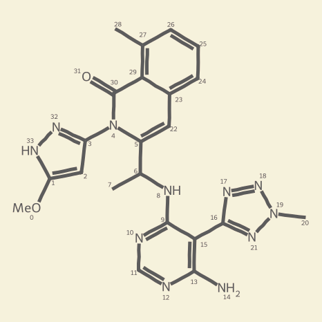 COc1cc(-n2c(C(C)Nc3ncnc(N)c3-c3nnn(C)n3)cc3cccc(C)c3c2=O)n[nH]1